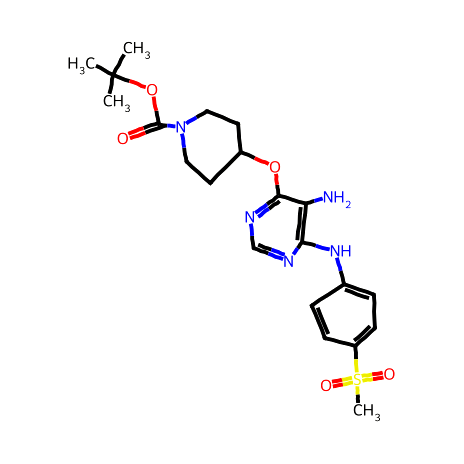 CC(C)(C)OC(=O)N1CCC(Oc2ncnc(Nc3ccc(S(C)(=O)=O)cc3)c2N)CC1